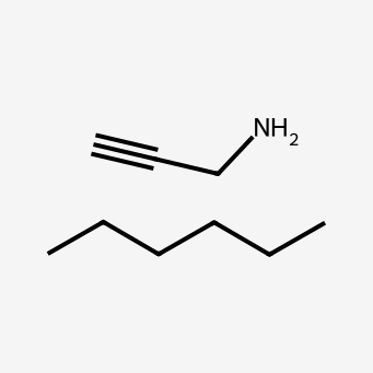 C#CCN.CCCCCC